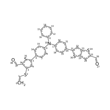 C=CSc1cc(-c2ccc(N(c3ccccc3)c3ccc(-c4cc5sc(C=O)cc5s4)cc3)cc2)sc1C=O